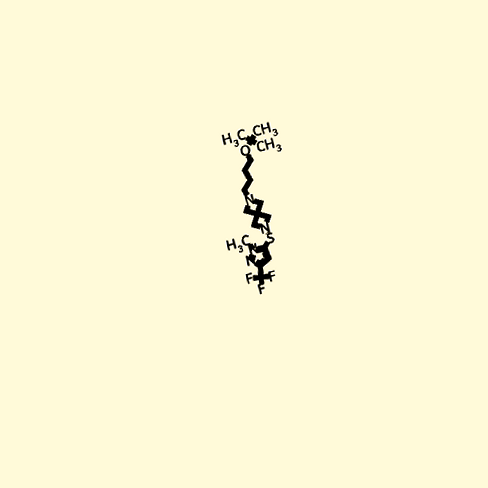 Cn1nc(C(F)(F)F)cc1SN1CC2(CN(CCCCOC(C)(C)C)C2)C1